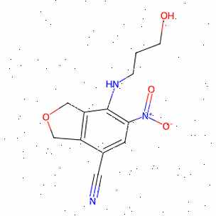 N#Cc1cc([N+](=O)[O-])c(NCCCO)c2c1COC2